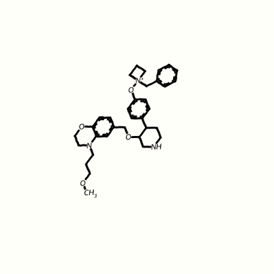 COCCCN1CCOc2ccc(COC3CNCCC3c3ccc(O[N+]4(Cc5ccccc5)CCC4)cc3)cc21